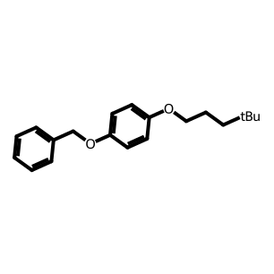 CC(C)(C)CCCOc1ccc(OCc2ccccc2)cc1